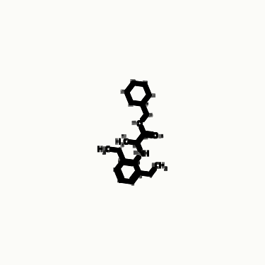 CCc1cccc(CC)c1NC(C)C(=O)OCC1CCCCC1